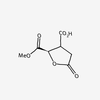 COC(=O)[C@@H]1OC(=O)CC1C(=O)O